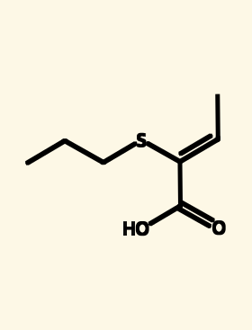 CC=C(SCCC)C(=O)O